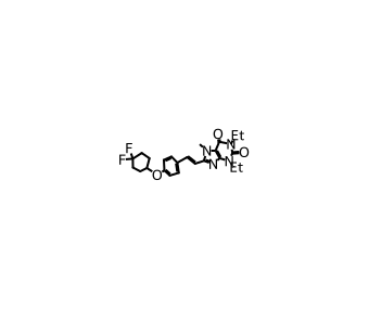 CCn1c(=O)c2c(nc(/C=C/c3ccc(OC4CCC(F)(F)CC4)cc3)n2C)n(CC)c1=O